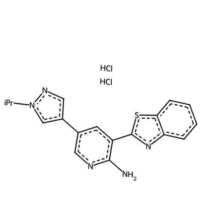 CC(C)n1cc(-c2cnc(N)c(-c3nc4ccccc4s3)c2)cn1.Cl.Cl